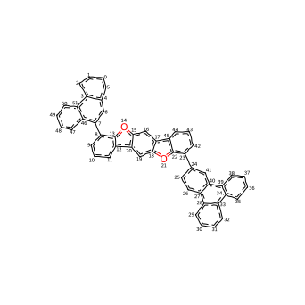 c1ccc2c(c1)cc(-c1cccc3c1oc1cc4c(cc13)oc1c(-c3ccc5c6ccccc6c6ccccc6c5c3)cccc14)c1ccccc12